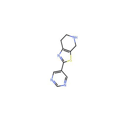 c1ncc(-c2nc3c(s2)CNCC3)cn1